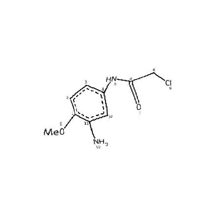 COc1ccc(NC(=O)CCl)cc1N